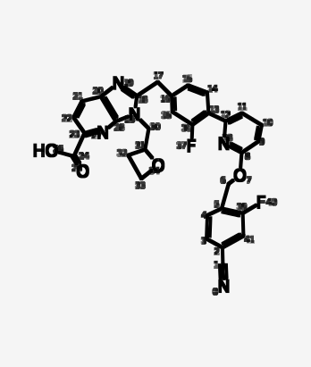 N#Cc1ccc(COc2cccc(-c3ccc(Cc4nc5ccc(C(=O)O)nc5n4CC4CCO4)cc3F)n2)c(F)c1